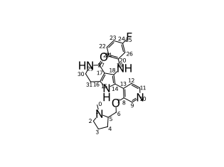 CN1CCCC1COc1cnccc1-c1[nH]c2c(c1Nc1cccc(F)c1)C(=O)NCC2